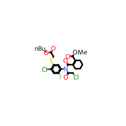 CCCCOC(=O)CSc1cc(N(C(=O)CCl)C(=O)C2=C(C(=O)OC)CCCC2)c(F)cc1Cl